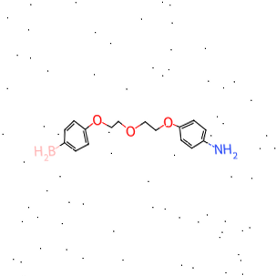 Bc1ccc(OCCOCCOc2ccc(N)cc2)cc1